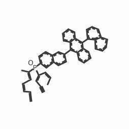 C#C/C=C(\C=C/C)P(=O)(/C(C)=C/C=C\C=C)c1ccc2cc(-c3c4ccccc4c(-c4cccc5ccccc45)c4ccccc34)ccc2c1